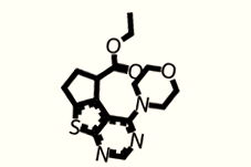 CCOC(=O)C1CCc2sc3ncnc(N4CCOCC4)c3c21